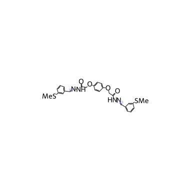 CSc1cccc(/C=N/NC(=O)COc2ccc(OCC(=O)N/N=C/c3cccc(SC)c3)cc2)c1